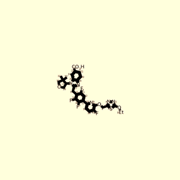 CCOc1nnc(COc2nc(-c3cc(F)c(Cc4nc5ccc(C(=O)O)cc5n4C4COCC4(C)C)c(F)c3F)ccc2F)s1